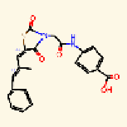 CC(=C\c1ccccc1)/C=C1/SC(=O)N(CC(=O)Nc2ccc(C(=O)O)cc2)C1=O